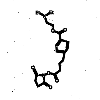 CCN(CC)CCOC(=O)c1ccc(CCCC(=O)ON2C(=O)CCC2=O)cc1